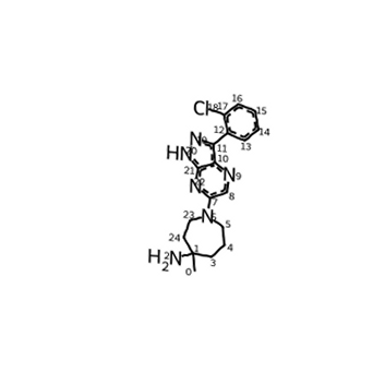 CC1(N)CCCN(c2cnc3c(-c4ccccc4Cl)n[nH]c3n2)CC1